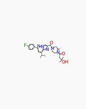 CC(C)c1cc(-c2ccc(F)cc2)nn2cc(C(=O)N3CCN(C(=O)CC(C)(C)O)[C@@H](C)C3)nc12